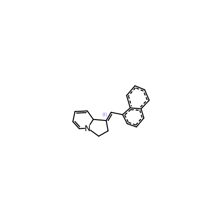 C1=CC2/C(=C/c3cccc4ccccc34)CCN2C=C1